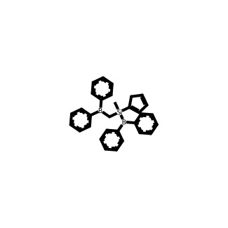 C[Si](CB(c1ccccc1)c1ccccc1)(B(c1ccccc1)c1ccccc1)C1=CC=CC1